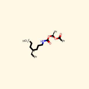 CC(C)C[C@H](CCCNC(=O)O[C@H](OC(=O)C(C)C)C(C)C)CCC(=O)O